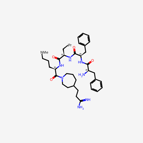 CNCCC[C@@H](NC(=O)[C@@H](CC(C)C)NC(=O)[C@@H](Cc1ccccc1)NC(=O)[C@H](N)Cc1ccccc1)C(=O)N1CCCC(CCC(=N)N)CC1